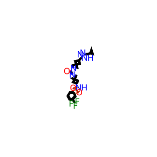 O=C(N1CC2(CC(NS(=O)(=O)c3cccc(C(F)(F)F)c3)C2)C1)N1CC2(CC(c3nnc(C4CC4)[nH]3)C2)C1